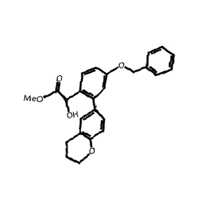 COC(=O)C(O)c1ccc(OCc2ccccc2)cc1-c1ccc2c(c1)CCCO2